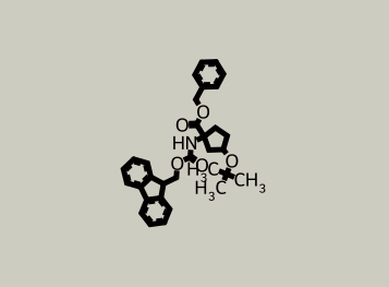 CC(C)(C)OC1CCC(NC(=O)OCC2c3ccccc3-c3ccccc32)(C(=O)OCc2ccccc2)C1